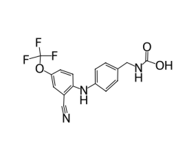 N#Cc1cc(OC(F)(F)F)ccc1Nc1ccc(CNC(=O)O)cc1